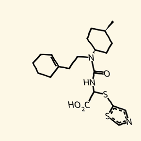 C[C@H]1CC[C@H](N(CCC2=CCCCC2)C(=O)NC(Sc2cncs2)C(=O)O)CC1